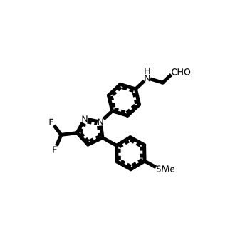 CSc1ccc(-c2cc(C(F)F)nn2-c2ccc(NCC=O)cc2)cc1